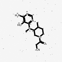 CC1CCN(C(=O)CC#N)CC1N(C)c1ncnc(N)c1O